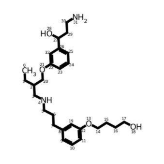 CCC(CNCCCc1cccc(OCCCCO)c1)COc1cccc(C(O)CCN)c1